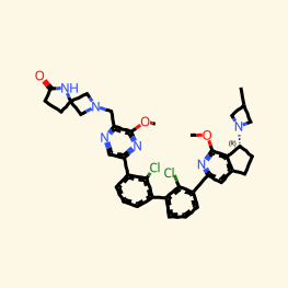 COc1nc(-c2cccc(-c3cccc(-c4cc5c(c(OC)n4)[C@H](N4CC(C)C4)CC5)c3Cl)c2Cl)cnc1CN1CC2(CCC(=O)N2)C1